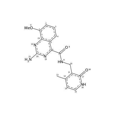 COc1cccc2c(C(=O)NCc3c(C)cc[nH]c3=O)nc(N)nc12